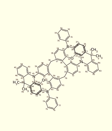 CC1(C)c2ccccc2N(c2ccc3c(c2)-c2c(ccc4c2Oc2ccccc2B4c2ccccc2)Cc2ccc(N4c5ccccc5C(C)(C)c5ccccc54)cc2-c2c(ccc4c2Oc2ccccc2B4c2ccccc2)C3)c2ccccc21